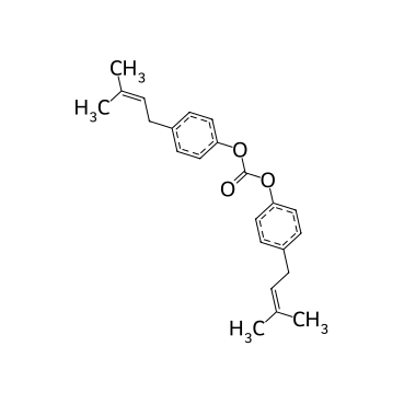 CC(C)=CCc1ccc(OC(=O)Oc2ccc(CC=C(C)C)cc2)cc1